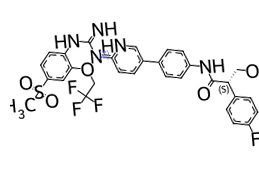 CS(=O)(=O)c1ccc(NC(=N)/N=c2/ccc(-c3ccc(NC(=O)[C@H](CO)c4ccc(F)cc4)cc3)c[nH]2)c(OCC(F)(F)F)c1